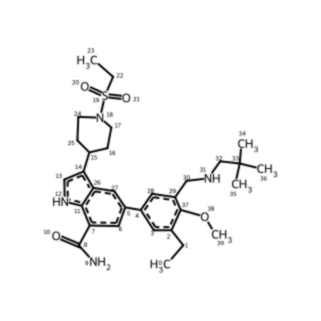 CCc1cc(-c2cc(C(N)=O)c3[nH]cc(C4CCN(S(=O)(=O)CC)CC4)c3c2)cc(CNCC(C)(C)C)c1OC